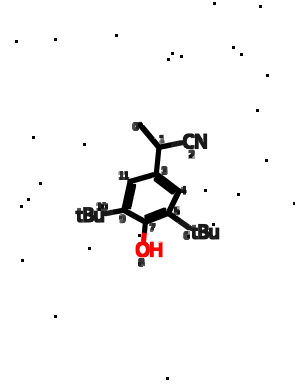 CC(C#N)c1cc(C(C)(C)C)c(O)c(C(C)(C)C)c1